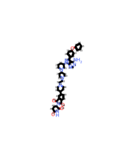 Nc1ncnc2c1c(-c1ccc(Oc3ccccc3)cc1)nn2C1CCCN(C2CCN(CCN3CCC(c4ccc5c(c4)C(=O)N(C4CCC(=O)NC4=O)C5=O)CC3)CC2)C1